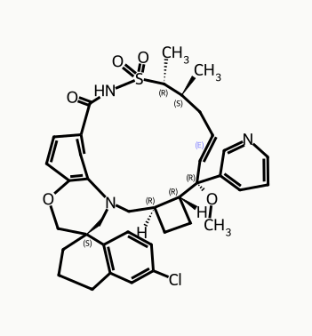 CO[C@@]1(c2cccnc2)/C=C/C[C@H](C)[C@@H](C)S(=O)(=O)NC(=O)c2ccc3c(c2)N(C[C@@H]2CC[C@H]21)C[C@@]1(CCCc2cc(Cl)ccc21)CO3